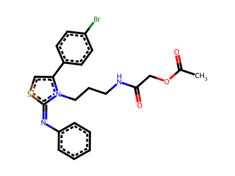 CC(=O)OCC(=O)NCCCn1c(-c2ccc(Br)cc2)cs/c1=N/c1ccccc1